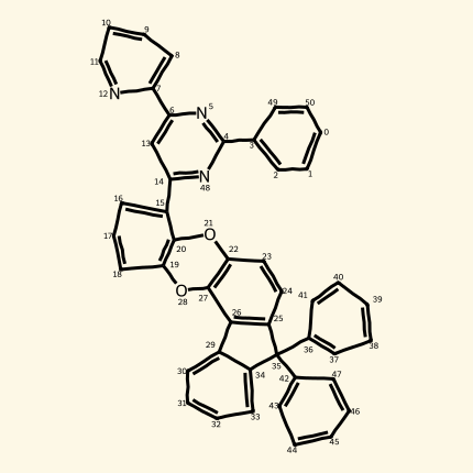 c1ccc(-c2nc(-c3ccccn3)cc(-c3cccc4c3Oc3ccc5c(c3O4)-c3ccccc3C5(c3ccccc3)c3ccccc3)n2)cc1